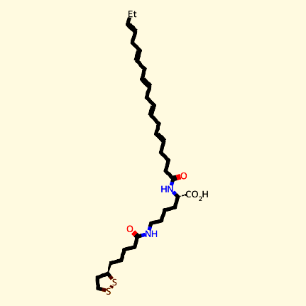 CCC=CCC=CCC=CCC=CCC=CCCCC(=O)N[C@@H](CCCCNC(=O)CCCC[C@@H]1CCSS1)C(=O)O